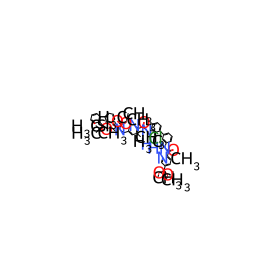 COC(OC)c1cnc(C(=O)Nc2cccc(-c3cccc(NC(=O)c4ncc(CN(CCO[Si](c5ccccc5)(c5ccccc5)C(C)(C)C)C(=O)OC(C)(C)C)cc4C)c3Cl)c2C)c(C)c1